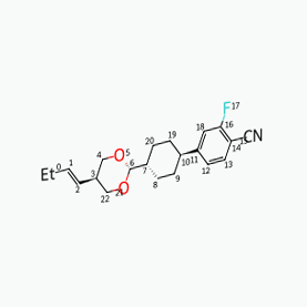 CCC=C[C@H]1CO[C@H]([C@H]2CC[C@H](c3ccc(C#N)c(F)c3)CC2)OC1